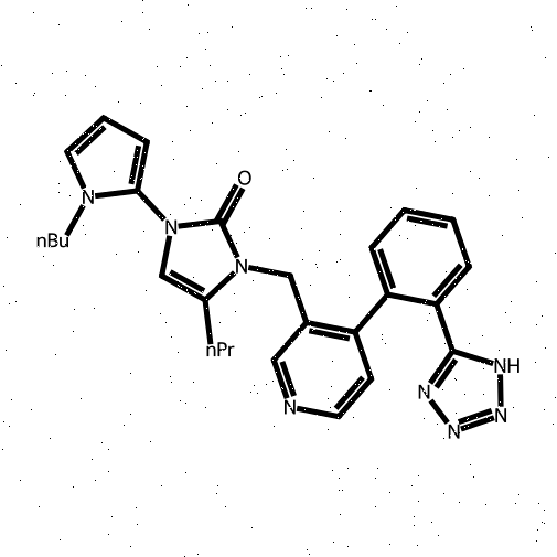 CCCCn1cccc1-n1cc(CCC)n(Cc2cnccc2-c2ccccc2-c2nnn[nH]2)c1=O